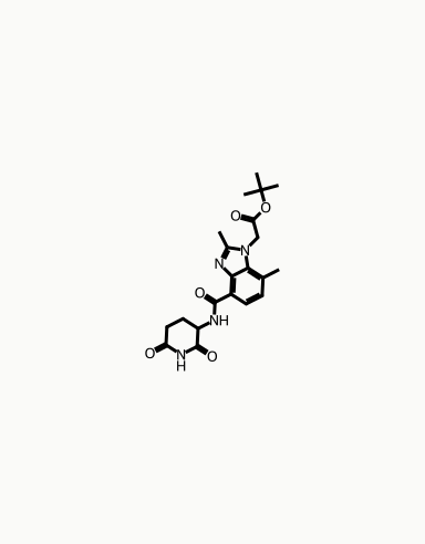 Cc1ccc(C(=O)NC2CCC(=O)NC2=O)c2nc(C)n(CC(=O)OC(C)(C)C)c12